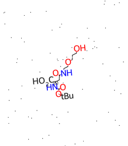 CC(C)(C)OC(=O)N[C@@H](CC(=O)NCCOCCCO)C(=O)O